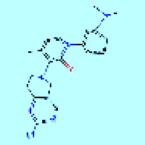 Cc1ccn(-c2cccc(N(C)C)c2)c(=O)c1N1CCc2nc(N)ncc2C1